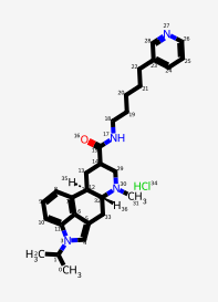 CC(C)n1cc2c3c(cccc31)[C@H]1CC(C(=O)NCCCCCc3cccnc3)CN(C)[C@@H]1C2.Cl